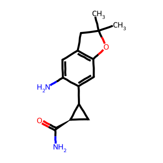 CC1(C)Cc2cc(N)c(C3C[C@H]3C(N)=O)cc2O1